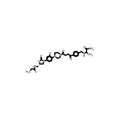 CCC(=S)NC[C@H]1CN(c2ccc(N3CCN(C(=O)CCC(=O)c4ccc(CNC(C)C(N)=O)cc4)CC3)c(F)c2)C(=O)O1